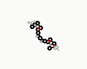 CC(C)c1ccccc1N(c1ccc2cc3c(cc2c1)oc1cc2oc4cc5cc(N(c6ccccc6-c6ccccc6)c6ccccc6C(C)(C)C)ccc5cc4c2cc13)c1ccccc1-c1ccccc1